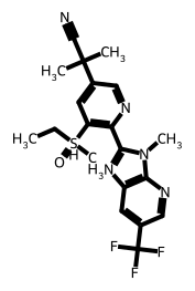 CC[SH](C)(=O)c1cc(C(C)(C)C#N)cnc1-c1nc2cc(C(F)(F)F)cnc2n1C